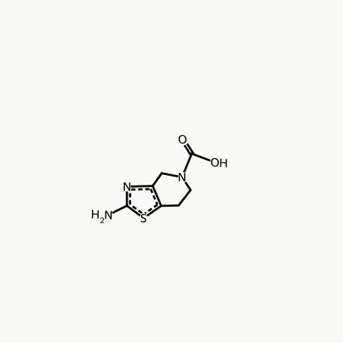 Nc1nc2c(s1)CCN(C(=O)O)C2